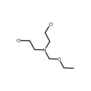 CCOCN(CCCl)CCCl